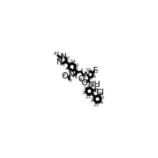 CC(=O)n1cc(CC(=O)N2C[C@H](F)CC2C(=O)Nc2cccc(-c3ccccc3Cl)c2F)c2ccc(-c3cnc(C)nc3)cc21